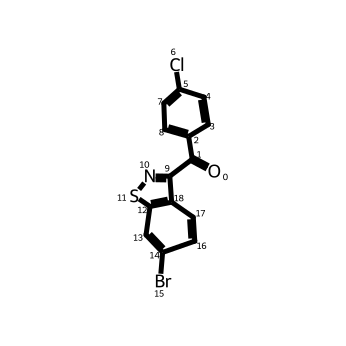 O=C(c1ccc(Cl)cc1)c1nsc2cc(Br)ccc12